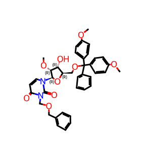 COc1ccc(C(OC[C@H]2O[C@@H](n3ccc(=O)n(COCc4ccccc4)c3=O)[C@H](OC)[C@@H]2O)(c2ccccc2)c2ccc(OC)cc2)cc1